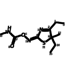 CCC1=NC(=NOC(=O)NC)SC1(C)CC